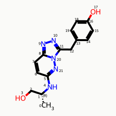 C[C@H](CO)Nc1ccc2nnc(Cc3ccc(O)cc3)n2n1